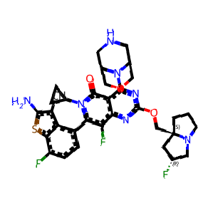 N#Cc1c(N)sc2c(F)ccc(-c3c(F)c4nc(OC[C@@]56CCCN5C[C@H](F)C6)nc(N5C6CNCC5COC6)c4c(=O)n3C3CC3)c12